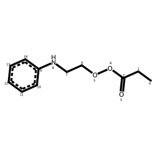 CCC(=O)OOCCNc1ccccc1